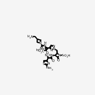 N=C(NCc1cnn(CC2C(NC(=O)/C(=N\OC3(C(=O)O)CC3)c3csc(N)n3)C(=O)N2S(=O)(=O)O)n1)N1CC(CN)C1